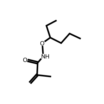 C=C(C)C(=O)NOC(CC)CCC